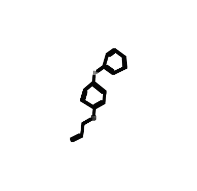 C=CCOc1ccc([I+]c2ccccc2)cc1